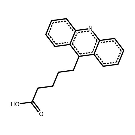 O=C(O)CCCCc1c2ccccc2nc2ccccc12